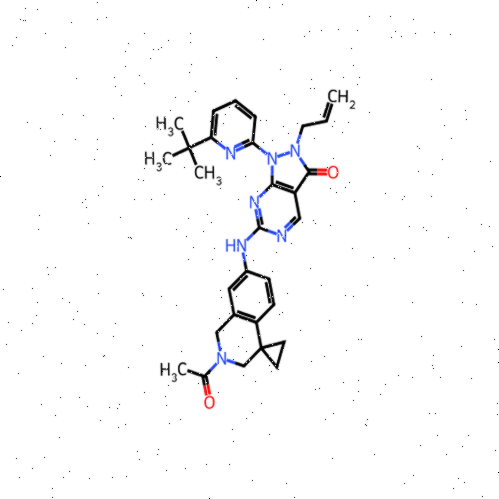 C=CCn1c(=O)c2cnc(Nc3ccc4c(c3)CN(C(C)=O)CC43CC3)nc2n1-c1cccc(C(C)(C)C)n1